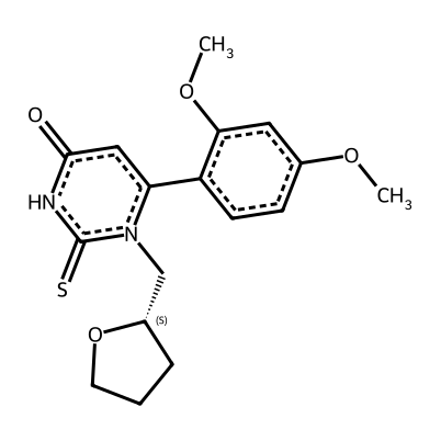 COc1ccc(-c2cc(=O)[nH]c(=S)n2C[C@@H]2CCCO2)c(OC)c1